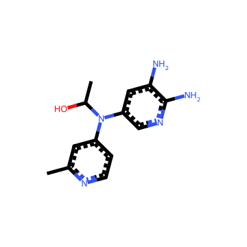 Cc1cc(N(c2cnc(N)c(N)c2)C(C)O)ccn1